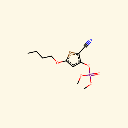 CCCCOc1cc(OP(=O)(OC)OC)c(C#N)s1